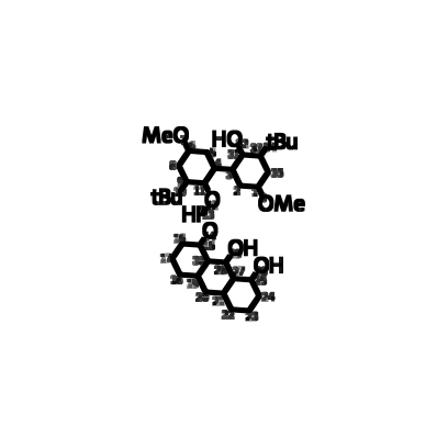 COC1CC(C2CC(OC)CC(C(C)(C)C)C2OPOC2CCCC3CC4CCCC(O)C4C(O)C32)C(O)C(C(C)(C)C)C1